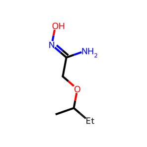 CCC(C)OC/C(N)=N/O